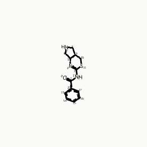 O=C(NC1=NC2CNCC2CS1)c1ccccc1